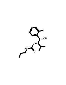 CCCNC(=O)O[C@@H](C(C)C)[C@@H](O)c1ccccc1I